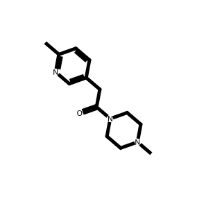 Cc1ccc(CC(=O)N2CCN(C)CC2)cn1